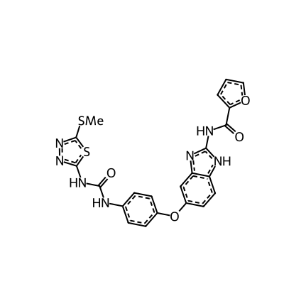 CSc1nnc(NC(=O)Nc2ccc(Oc3ccc4[nH]c(NC(=O)c5ccco5)nc4c3)cc2)s1